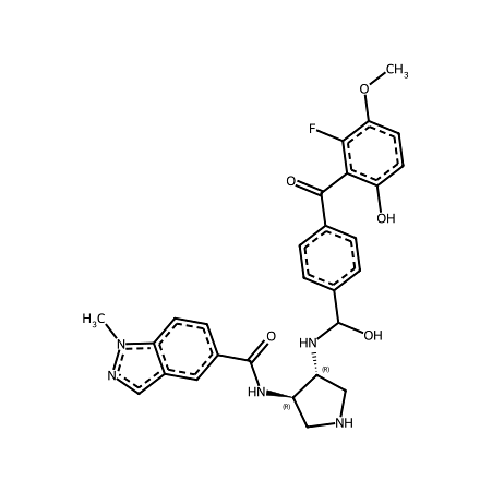 COc1ccc(O)c(C(=O)c2ccc(C(O)N[C@@H]3CNC[C@H]3NC(=O)c3ccc4c(cnn4C)c3)cc2)c1F